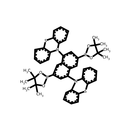 CC1(C)OB(c2cc(N3c4ccccc4Sc4ccccc43)c3cc(B4OC(C)(C)C(C)(C)O4)cc(N4c5ccccc5Sc5ccccc54)c3c2)OC1(C)C